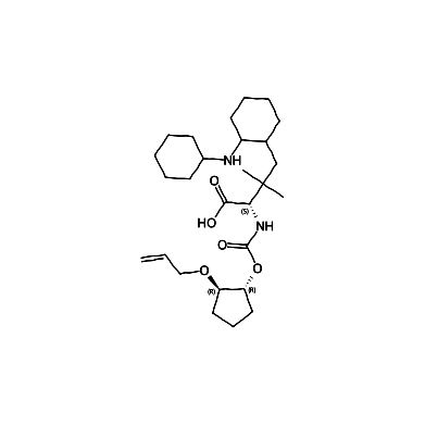 C=CCO[C@@H]1CCC[C@H]1OC(=O)N[C@H](C(=O)O)C(C)(C)CC1CCCCC1NC1CCCCC1